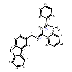 N/C(=N\C(=N/Cc1ccc2oc3ccccc3c2c1)c1ccccc1)c1ccccc1